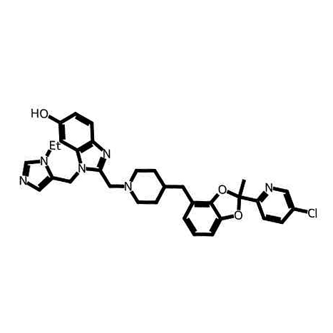 CCn1cncc1Cn1c(CN2CCC(Cc3cccc4c3OC(C)(c3ccc(Cl)cn3)O4)CC2)nc2ccc(O)cc21